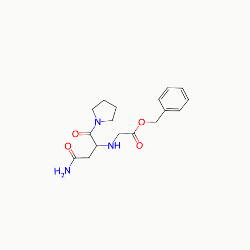 NC(=O)CC(NCC(=O)OCc1ccccc1)C(=O)N1CCCC1